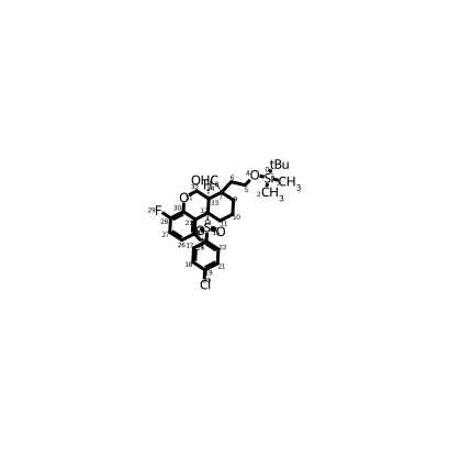 CC(C)(C)[Si](C)(C)OCC[C@@]1(C=O)CCC[C@@]2(S(=O)(=O)c3ccc(Cl)cc3)c3c(F)ccc(F)c3OC[C@@H]12